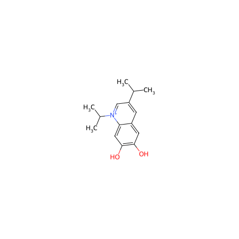 CC(C)c1cc2cc(O)c(O)cc2[n+](C(C)C)c1